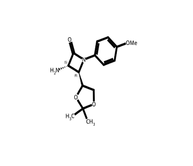 COc1ccc(N2C(=O)[C@@H](N)[C@@H]2C2COC(C)(C)O2)cc1